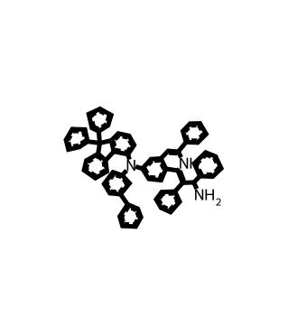 NC(/C(=C1\NC(c2ccccc2)=Cc2cc(N(c3cccc(-c4ccccc4)c3)c3cccc4c3-c3ccccc3C4(c3ccccc3)c3ccccc3)ccc21)c1ccccc1)c1ccccc1